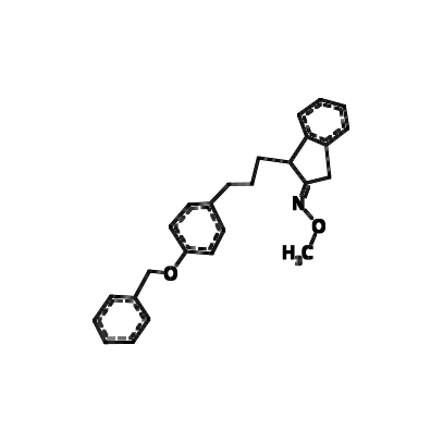 CON=C1Cc2ccccc2C1CCCc1ccc(OCc2ccccc2)cc1